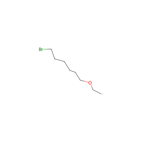 [CH2]COCCCCCCBr